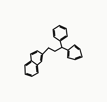 [CH](CC(c1ccccc1)c1ccccc1)c1ccc2ccccc2c1